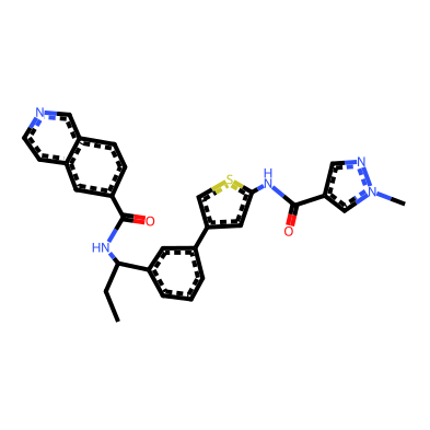 CCC(NC(=O)c1ccc2cnccc2c1)c1cccc(-c2csc(NC(=O)c3cnn(C)c3)c2)c1